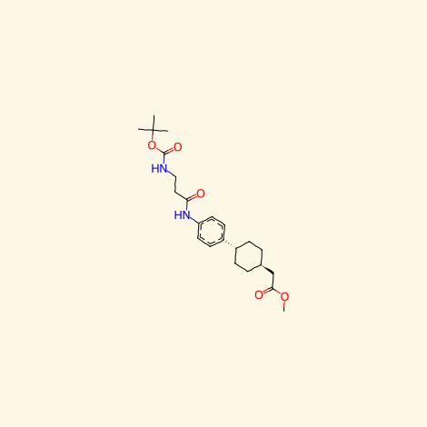 COC(=O)C[C@H]1CC[C@H](c2ccc(NC(=O)CCNC(=O)OC(C)(C)C)cc2)CC1